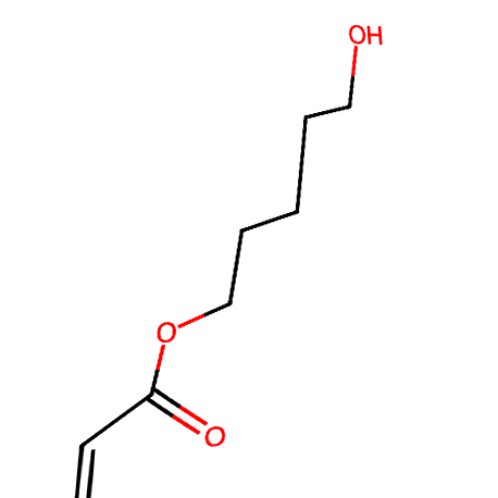 C=CC(=O)OCCCCCO